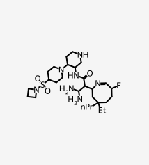 CCCC1(CC)CCC(F)/C=N\C(C(C(=O)NC2CNCCC2N2CCC(S(=O)(=O)N3CCC3)CC2)C(N)N)C1